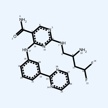 NC(=O)c1cnc(NCC(N)CC(F)F)nc1Nc1cccc(-c2ncccn2)c1